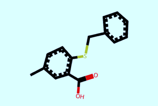 Cc1ccc(SCc2ccccc2)c(C(=O)O)c1